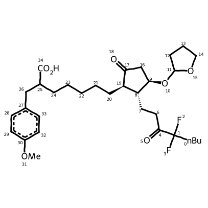 CCCCC(F)(F)C(=O)CC[C@H]1[C@H](OC2CCCO2)CC(=O)[C@@H]1CCCCCC(Cc1ccc(OC)cc1)C(=O)O